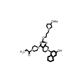 C=CC(=O)N1CCN(c2nc(OCCCN3CCC(OC)C3)nc3c2CCN(c2cc(O)cc4ccccc24)C3)CC1